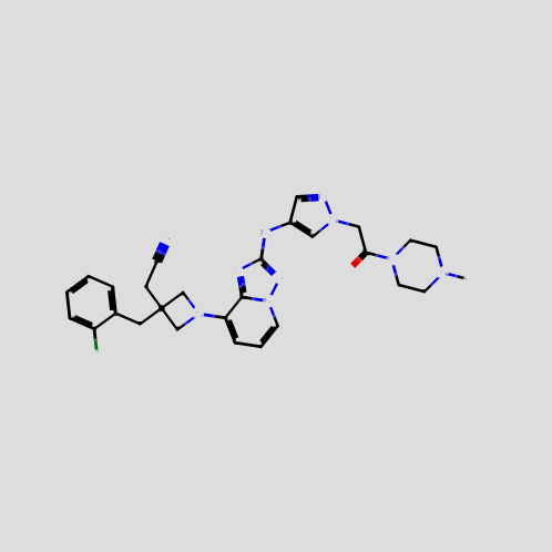 CN1CCN(C(=O)Cn2cc(Nc3nc4c(N5CC(CC#N)(Cc6ccccc6Cl)C5)cccn4n3)cn2)CC1